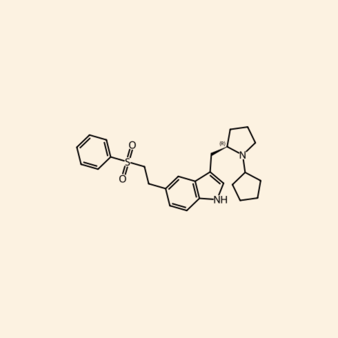 O=S(=O)(CCc1ccc2[nH]cc(C[C@H]3CCCN3C3CCCC3)c2c1)c1ccccc1